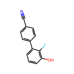 N#Cc1ccc(-c2cccc(O)c2F)cc1